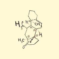 CC1C[C@]2(C)C(=O)CC[C@H]2[C@@H]2CC=C3CCCC[C@]3(C)[C@H]12